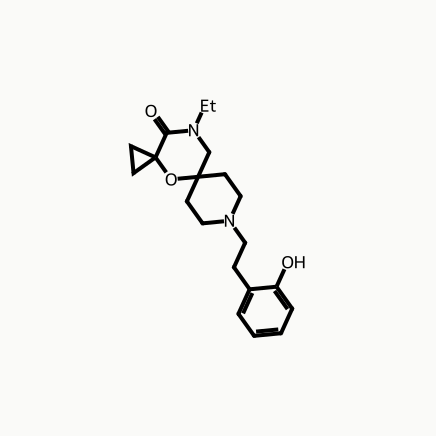 CCN1CC2(CCN(CCc3ccccc3O)CC2)OC2(CC2)C1=O